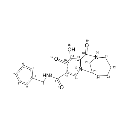 O=C(NCc1ccccc1)c1cn2c(c(O)c1=O)C(=O)N1CCCCC2C1